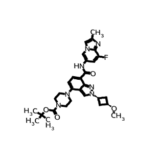 CO[C@H]1C[C@@H](n2cc3c(N4CCN(C(=O)OC(C)(C)C)CC4)ccc(C(=O)Nc4cc(F)c5nc(C)cn5c4)c3n2)C1